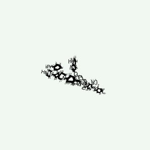 CC(C)c1ccccc1[C@H]1CNCCN1C1CC2(CCN(c3ccc(C(=O)NS(=O)(=O)c4cnc(NCC5CCC(C)(C)CC5)c([N+](=O)[O-])c4)c(Oc4cnc5[nH]ccc5c4)c3)CC2)C1